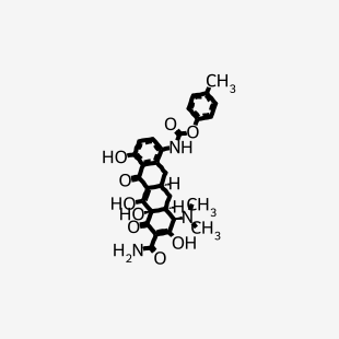 Cc1ccc(OC(=O)Nc2ccc(O)c3c2C[C@H]2C[C@H]4[C@@H](N(C)C)C(O)=C(C(N)=O)C(=O)[C@]4(O)C(O)=C2C3=O)cc1